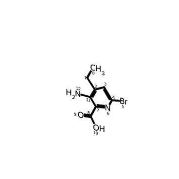 CCc1cc(Br)nc(C(=O)O)c1N